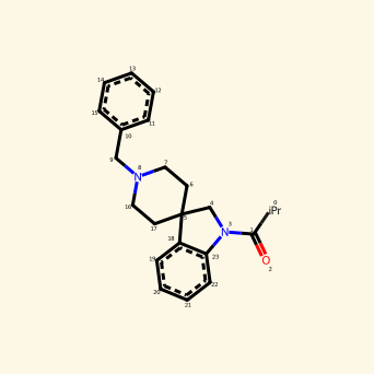 CC(C)C(=O)N1CC2(CCN(Cc3ccccc3)CC2)c2ccccc21